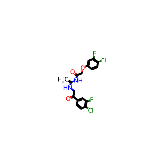 C=C(NCC(=O)c1ccc(Cl)c(F)c1)NC(=O)COc1ccc(Cl)c(F)c1